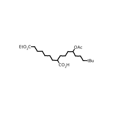 CCOC(=O)CCCCCCC(CCCC(CCCC(C)(C)C)OC(C)=O)C(=O)O